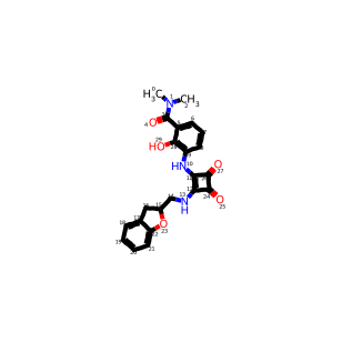 CN(C)C(=O)c1cccc(Nc2c(NCC3Cc4ccccc4O3)c(=O)c2=O)c1O